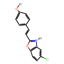 CCOc1ccc(C=Cc2oc3ccc(Cl)cc3[n+]2CC)cc1